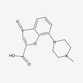 CN1CCN(c2cccc3c(=O)cc(C(=O)O)oc23)CC1